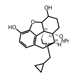 CCCO[C@@]12CCC(O)C3Oc4c(O)ccc5c4[C@@]31CCN(CC1CC1)[C@@H]2C5